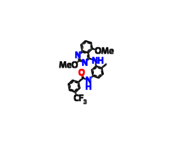 COc1nc(Nc2cc(NC(=O)c3cccc(C(F)(F)F)c3)ccc2C)c2c(OC)cccc2n1